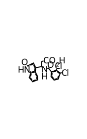 O=C(O)CC(NC(=O)c1cccc(Cl)c1Cl)c1cc(=O)[nH]c2ccccc12